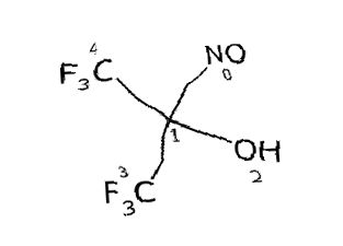 O=NC(O)(C(F)(F)F)C(F)(F)F